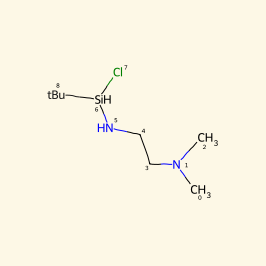 CN(C)CCN[SiH](Cl)C(C)(C)C